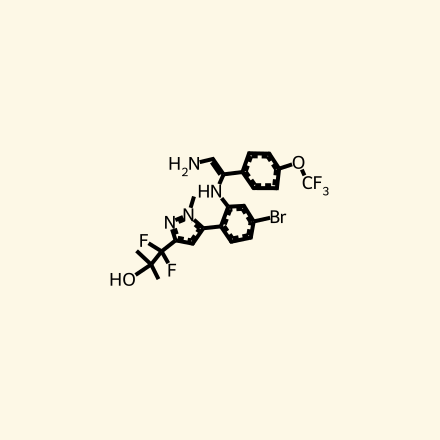 Cn1nc(C(F)(F)C(C)(C)O)cc1-c1ccc(Br)cc1N/C(=C\N)c1ccc(OC(F)(F)F)cc1